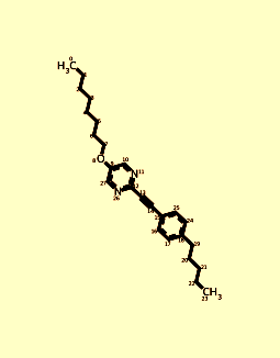 CCCCCCCCOc1cnc(C#Cc2ccc(CCCCC)cc2)nc1